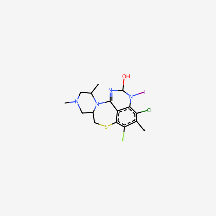 Cc1c(F)c2c3c(c1Cl)N(I)C(O)N=C3N1C(C)CN(C)CC1CS2